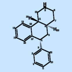 c1ccc([C@H]2C[C@@H]3CCNC[C@H]3c3ccccc32)cc1